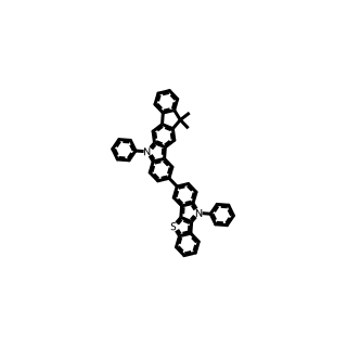 CC1(C)c2ccccc2-c2cc3c(cc21)c1cc(-c2ccc4c(c2)c2sc5ccccc5c2n4-c2ccccc2)ccc1n3-c1ccccc1